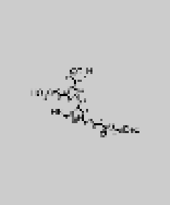 CCCCCCCCCCCOC(=O)CCCCN(CCCO)CCCN(CCCCC(=O)O)CCCCC(=O)O